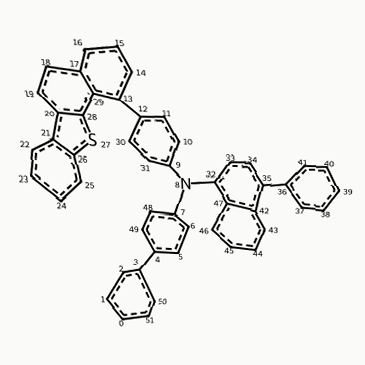 c1ccc(-c2ccc(N(c3ccc(-c4cccc5ccc6c7ccccc7sc6c45)cc3)c3ccc(-c4ccccc4)c4ccccc34)cc2)cc1